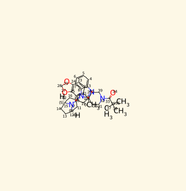 Cc1nc2ccccc2n1C1C[C@H]2CC[C@@H](C1)N2CCC1(c2ccc3c(c2)OCO3)CCN(C(=O)C(C)(C)C)CC1